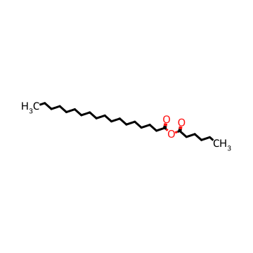 CCCCCCCCCCCCCCCCCC(=O)OC(=O)CCCCC